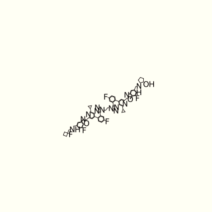 O[C@H]1CCC[C@H]1NCc1cc(F)c2oc(-c3cc(-c4ccc(F)cc4-c4nncn4CCn4cnnc4-c4cc(F)ccc4-c4cc(-c5nc6cc(CNCC7(F)CCC7)cc(F)c6o5)nc(C5CC5)c4)cc(C4CC4)n3)nc2c1